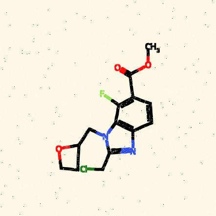 COC(=O)c1ccc2nc(CCl)n(CC3CCO3)c2c1F